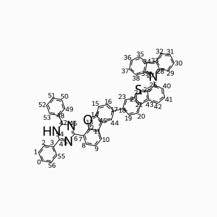 c1ccc(C2=NC(c3cccc4c3oc3ccc(-c5ccc6c(c5)sc5c(-n7c8ccccc8c8ccccc87)cccc56)cc34)=NC(c3ccccc3)N2)cc1